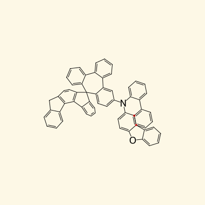 c1ccc(-c2ccccc2N(c2ccc3c(c2)-c2ccccc2-c2ccccc2C32c3ccccc3-c3c2ccc2c3-c3ccccc3C2)c2ccc3oc4ccccc4c3c2)cc1